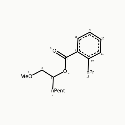 CCCCCC(COC)OC(=O)c1ccccc1CCC